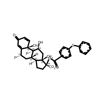 C[C@]12C=CC(=O)C=C1[C@@H](F)C[C@H]1[C@@H]3CC[C@](OC(=O)c4ccc(Sc5ccccc5)cc4)(C(=O)O)[C@@]3(C)C[C@H](O)[C@@]12F